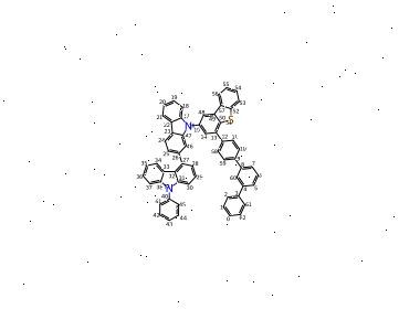 c1ccc(-c2cccc(-c3ccc(-c4cc(-n5c6ccccc6c6ccc(-c7cccc8c7c7ccccc7n8-c7ccccc7)cc65)cc5c4sc4ccccc45)cc3)c2)cc1